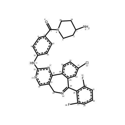 NC1CCN(C(=O)c2ccc(Nc3ncc4c(n3)-c3ccc(Cl)cc3C(c3c(F)cccc3F)=NC4)cc2)CC1